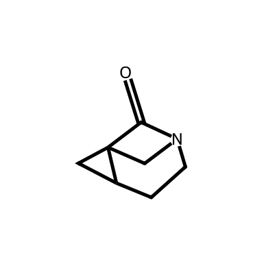 O=C1N2CCC3CC13C2